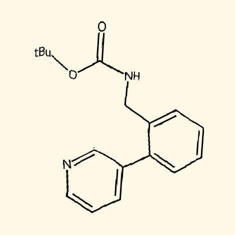 CC(C)(C)OC(=O)NCc1ccccc1-c1[c]nccc1